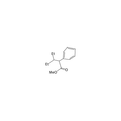 CCC(CC)C(C(=O)OC)c1ccccc1